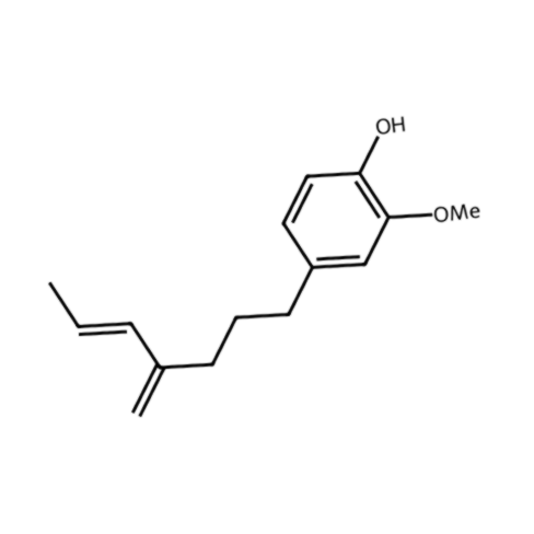 C=C(C=CC)CCCc1ccc(O)c(OC)c1